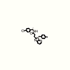 Cc1ccc(Cn2c(CCC(=O)N[C@@H](C)c3ccc(Cl)cc3)nc3cccnc32)cc1